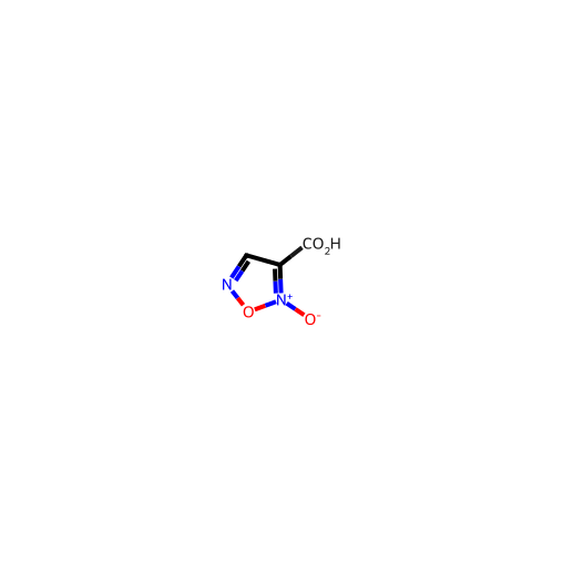 O=C(O)c1cno[n+]1[O-]